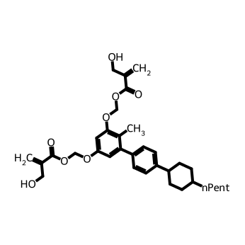 C=C(CO)C(=O)OCOc1cc(OCOC(=O)C(=C)CO)c(C)c(-c2ccc(C3CCC(CCCCC)CC3)cc2)c1